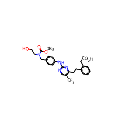 CC(C)(C)OC(=O)N(CCO)Cc1ccc(Nc2ncc(C(F)(F)F)c(CCc3ccccc3CC(=O)O)n2)cc1